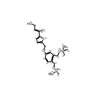 CCC(=CCO)c1ccc(COc2ccc(CO[Si](C)(C)C(C)(C)C)c(CO[Si](C)(C)C(C)(C)C)c2)s1